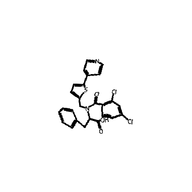 O=C(O)C(Cc1ccccc1)N(Cc1ccc(-c2ccncc2)s1)C(=O)c1ccc(Cl)cc1Cl